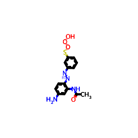 CC(=O)Nc1cc(N)ccc1/N=N/c1cccc(SOOO)c1